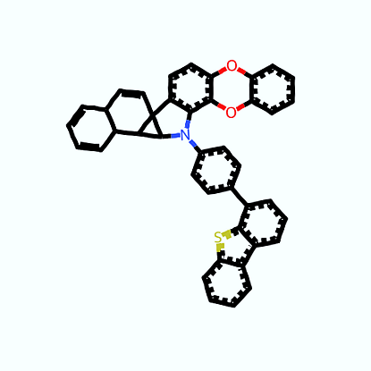 C1=CC2C=CC34c5ccc6c(c5N(c5ccc(-c7cccc8c7sc7ccccc78)cc5)C3C4C2C=C1)Oc1ccccc1O6